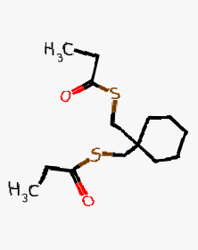 CCC(=O)SCC1(CSC(=O)CC)CCCCC1